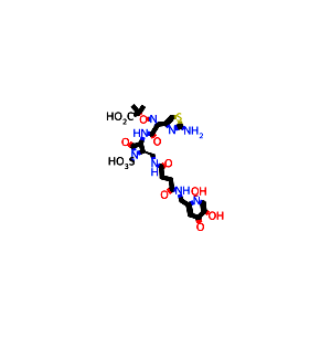 CC(C)(O/N=C(\C(=O)NC1C(=O)N(S(=O)(=O)O)[C@@H]1CNC(=O)CCC(=O)NCc1cc(=O)c(O)cn1O)c1csc(N)n1)C(=O)O